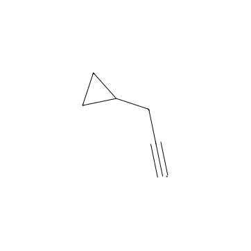 [C]#CCC1CC1